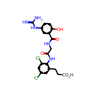 N=C(N)Nc1ccc(O)c(C(=O)NCC(=O)Nc2c(Cl)cc(Cl)cc2CCC(=O)O)c1